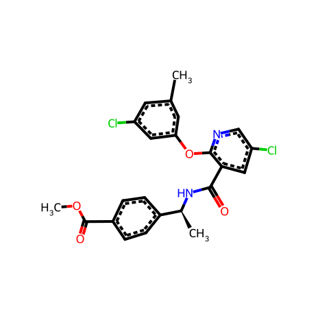 COC(=O)c1ccc([C@H](C)NC(=O)c2cc(Cl)cnc2Oc2cc(C)cc(Cl)c2)cc1